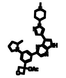 CC(=O)OC1(c2cc(-c3cnc4[nH]cc(-c5cnn(C6CCN(C)CC6)c5)c4n3)cc(N3CCCC3C)c2)COC1